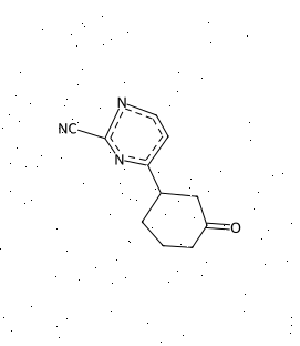 N#Cc1nccc(C2CCCC(=O)C2)n1